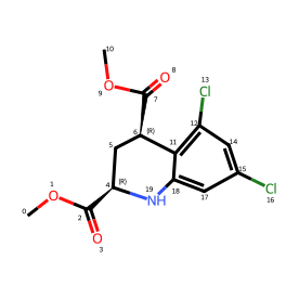 COC(=O)[C@H]1C[C@@H](C(=O)OC)c2c(Cl)cc(Cl)cc2N1